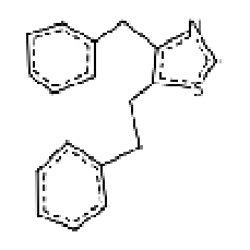 [c]1nc(Cc2ccccc2)c(CCc2ccccc2)s1